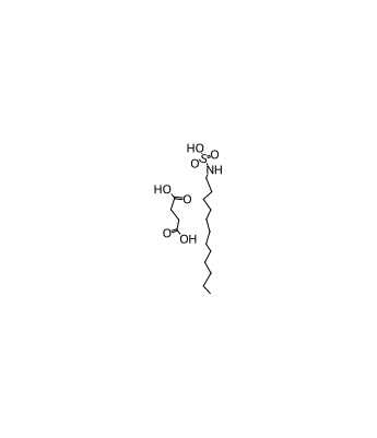 CCCCCCCCCCCCNS(=O)(=O)O.O=C(O)CCC(=O)O